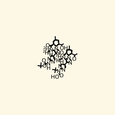 [2H]C([2H])([2H])n1c(=O)c2cc(C)cc(C(C)=O)c2n2cnc(-c3cnc(N(C(=O)O)C(C)(C)C)nc3)c12.[2H]C([2H])([2H])n1c(=O)c2cc(C)cc(C(C)O)c2n2cnc(-c3cnc(NC(=O)OC(C)(C)C)nc3)c12